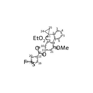 CCOC(=O)C1(c2ccccc2-c2ccc(OC(=O)c3csc(F)c3)cc2OC)CC1